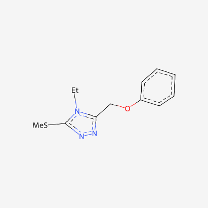 [CH2]Sc1nnc(COc2ccccc2)n1CC